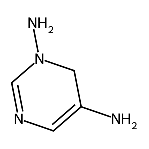 NC1=CN=CN(N)C1